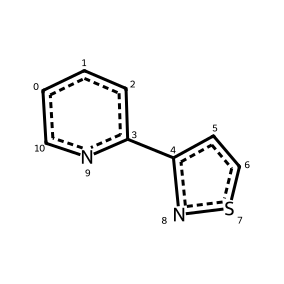 c1ccc(-c2ccsn2)nc1